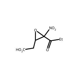 CCC(=O)C1([N+](=O)[O-])OC1CC(=O)O